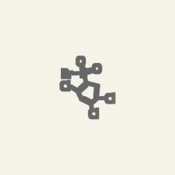 O=S(=O)(Br)c1cc(Cl)c(Cl)cc1Cl